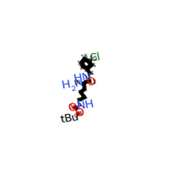 CC(C)(C)OC(=O)NCCCC[C@H](N)C(=O)NCc1cccc(Cl)c1